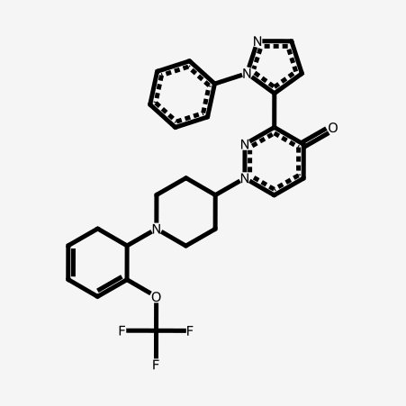 O=c1ccn(C2CCN(C3CC=CC=C3OC(F)(F)F)CC2)nc1-c1ccnn1-c1ccccc1